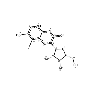 Cc1c[nH]c2nc(=O)c([C@@H]3O[C@H](CO)C(O)[C@@H]3O)cc-2c1F